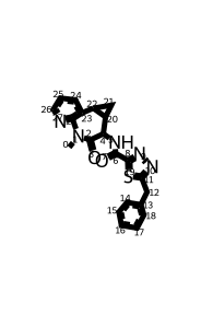 CN1C(=O)C(NC(=O)c2nnc(Cc3ccccc3)s2)C2CC2c2cccnc21